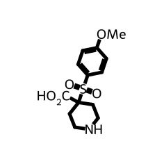 COc1ccc(S(=O)(=O)C2(C(=O)O)CCNCC2)cc1